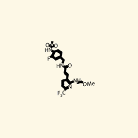 COCCNc1nc(C(F)(F)F)ccc1C=CC(=O)NCc1ccc(NS(C)(=O)=O)c(F)c1